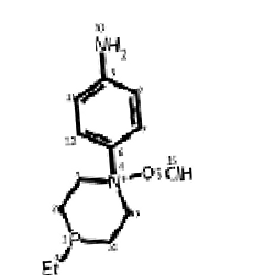 CCP1CC[N+]([O-])(c2ccc(N)cc2)CC1.Cl